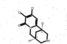 O=c1c(Cl)c(Cl)cc2n1C[C@@H]1CNC[C@H]2C1